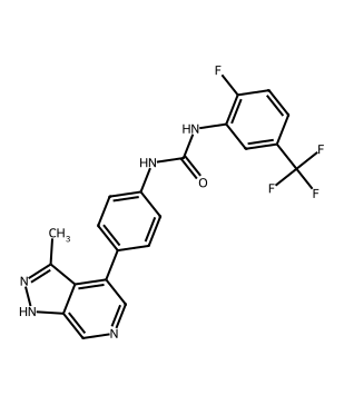 Cc1n[nH]c2cncc(-c3ccc(NC(=O)Nc4cc(C(F)(F)F)ccc4F)cc3)c12